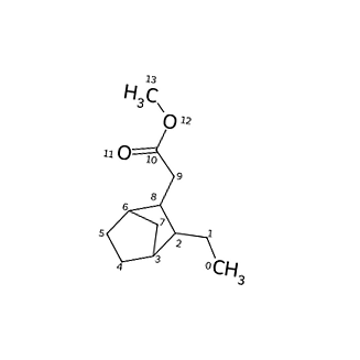 CCC1C2CCC(C2)C1CC(=O)OC